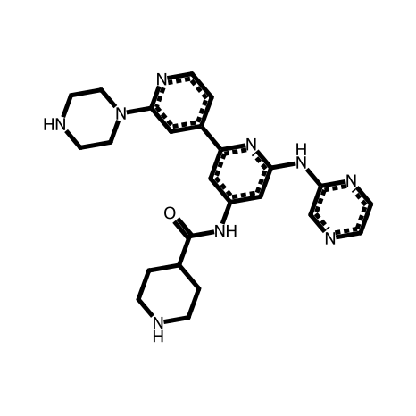 O=C(Nc1cc(Nc2cnccn2)nc(-c2ccnc(N3CCNCC3)c2)c1)C1CCNCC1